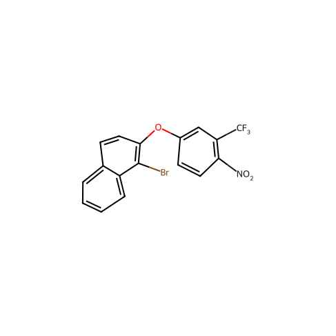 O=[N+]([O-])c1ccc(Oc2ccc3ccccc3c2Br)cc1C(F)(F)F